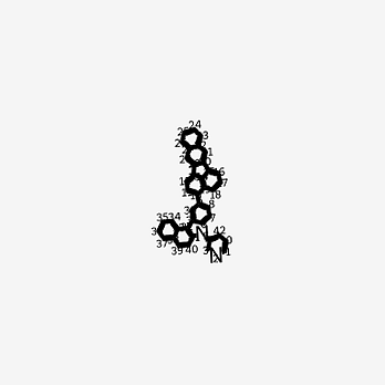 c1cncc(-n2c3ccc(-c4ccc5c6c(cccc46)-c4cc6ccccc6cc4-5)cc3c3c4ccccc4ccc32)c1